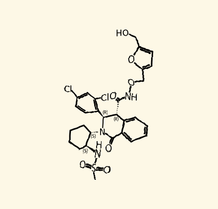 CS(=O)(=O)N[C@H]1CCCC[C@@H]1N1C(=O)c2ccccc2[C@@H](C(=O)NOCc2ccc(CO)o2)[C@@H]1c1ccc(Cl)cc1Cl